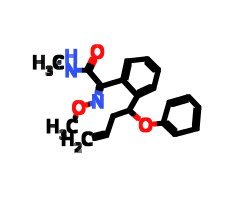 C=CCC(Oc1ccccc1)c1ccccc1C(=NOC)C(=O)NC